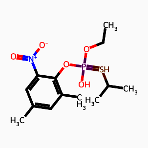 CCOP(O)(Oc1c(C)cc(C)cc1[N+](=O)[O-])=[SH]C(C)C